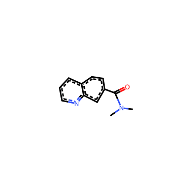 CN(C)C(=O)c1ccc2cccnc2c1